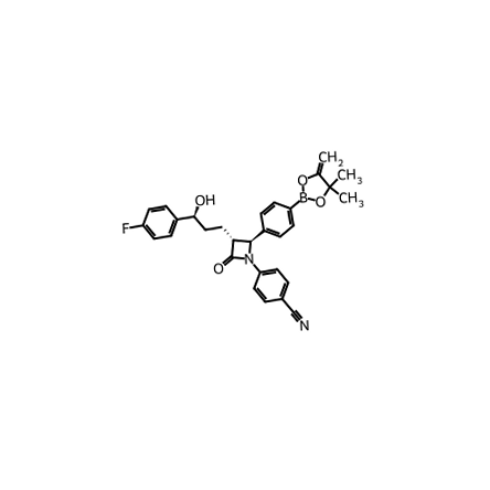 C=C1OB(c2ccc([C@@H]3[C@@H](CC[C@H](O)c4ccc(F)cc4)C(=O)N3c3ccc(C#N)cc3)cc2)OC1(C)C